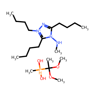 CCCCc1n[n+](CCCC)c(CCCC)n1NC.COC(C)(OC)[PH](C)(O)O